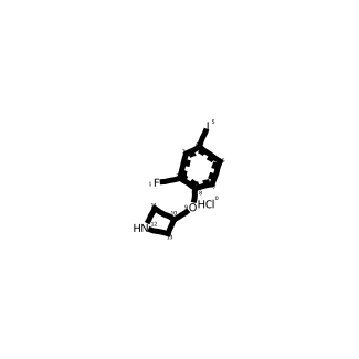 Cl.Fc1cc(I)ccc1OC1CNC1